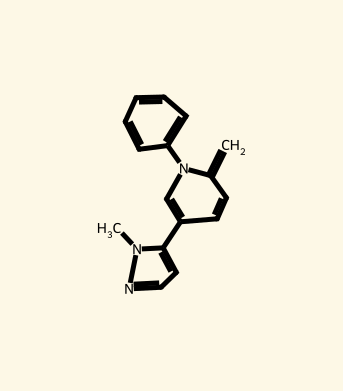 C=C1C=CC(c2ccnn2C)=CN1c1ccccc1